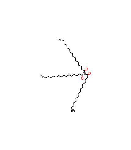 CC(C)CCCCCCCCCCCCCC[C](=O)[Ti]([C](=O)CCCCCCCCCCCCCCC(C)C)[C](=O)CCCCCCCCCCCCCCC(C)C